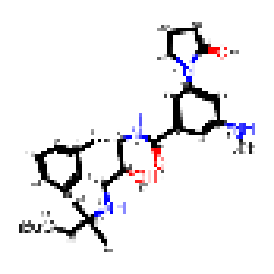 CCNc1cc(C(=O)N[C@@H](Cc2ccccc2)[C@@H](O)CNC(C)(C)COCC(C)C)cc(N2CCCC2=O)c1